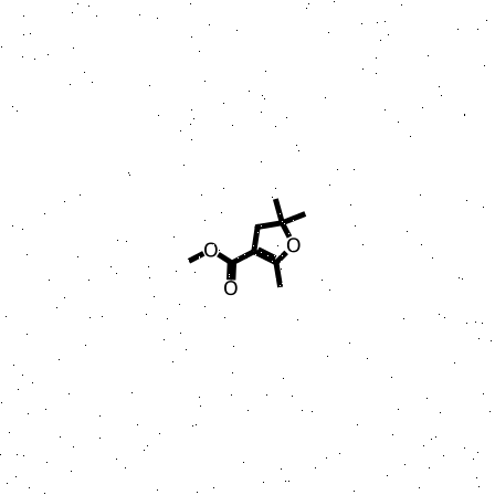 COC(=O)C1=C(C)OC(C)(C)C1